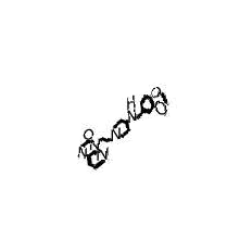 O=c1cnc2cccnc2n1CCN1CCC(NCc2ccc3c(c2)OCCO3)CC1